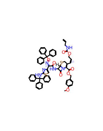 C=CCNC(=O)OC/C=C\C1=C(C(=O)OCc2ccc(OC)cc2)N2C(=O)C(NC(=O)/C(=N\OC(c3ccccc3)(c3ccccc3)c3ccccc3)c3csc(NC(c4ccccc4)(c4ccccc4)c4ccccc4)n3)[C@H]2SC1